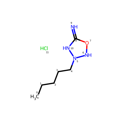 CCCCCN1NOC(=N)N1.Cl